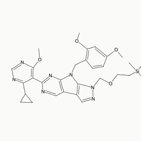 COc1ccc(Cn2c3nc(-c4c(OC)ncnc4C4CC4)ncc3c3cnn(COCC[Si](C)(C)C)c32)c(OC)c1